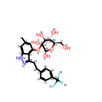 Cc1cc(O[C@]2(O)[C@H](O)O[C@H](CO)[C@@H](O)[C@@H]2O)c2c(CCc3ccc(C(F)(F)F)cc3)n[nH]c2c1